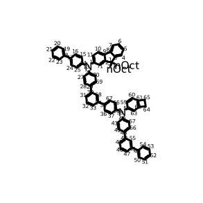 CCCCCCCCC1(CCCCCCCC)c2ccccc2-c2ccc(N(c3ccc(-c4ccccc4)cc3)c3ccc(-c4cccc(-c5ccc(N(c6ccc(-c7cccc(-c8ccccc8)c7)cc6)c6ccc7c(c6)CC7)cc5)c4)cc3)cc21